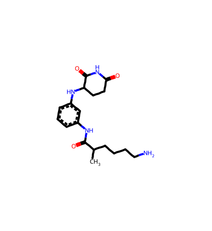 CC(CCCCN)C(=O)Nc1cccc(NC2CCC(=O)NC2=O)c1